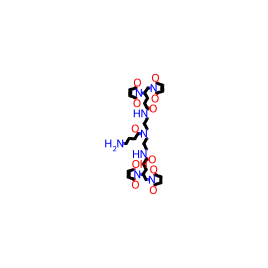 NCCCC(=O)N(CCCNC(=O)CCC(CN1C(=O)C=CC1=O)N1C(=O)C=CC1=O)CCCNC(=O)CCC(CN1C(=O)CCC1=O)N1C(=O)C=CC1O